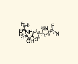 N#CC(F)c1ccc(-c2ccc([C@H](O)[C@@H](CF)NC(=O)C(F)F)cc2)cn1